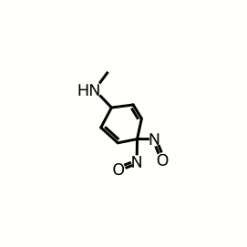 CNC1C=CC(N=O)(N=O)C=C1